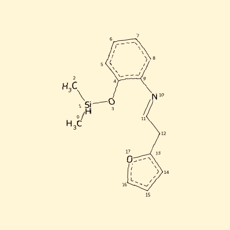 C[SiH](C)Oc1ccccc1N=CCc1ccco1